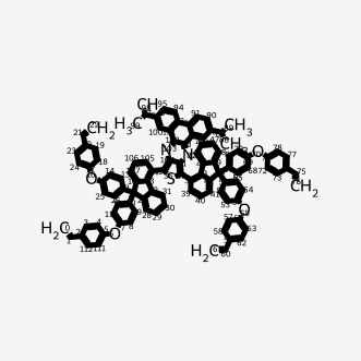 C=Cc1ccc(Oc2ccc(C3(c4ccc(Oc5ccc(C=C)cc5)cc4)c4ccccc4-c4c(-c5sc(-c6cccc7c6-c6ccccc6C7(c6ccc(Oc7ccc(C=C)cc7)cc6)c6ccc(Oc7ccc(C=C)cc7)cc6)c6nc7c8cc(C(C)C)ccc8c8ccc(C(C)C)cc8c7nc56)cccc43)cc2)cc1